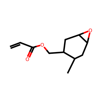 C=CC(=O)OCC1CC2OC2CC1C